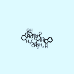 CC(C)[C@H](N)C(=O)N[C@@H](Cc1c[nH]c2ccccc12)C(=O)NC[C@@H](O)CP(=O)(O)CC1CCCCC1